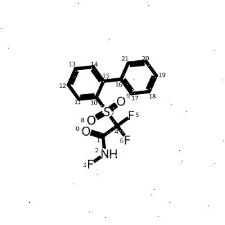 O=C(NF)C(F)(F)S(=O)(=O)c1ccccc1-c1ccccc1